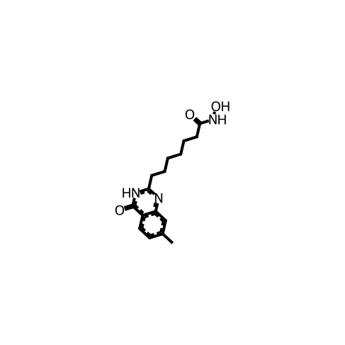 Cc1ccc2c(=O)[nH]c(CCCCCCC(=O)NO)nc2c1